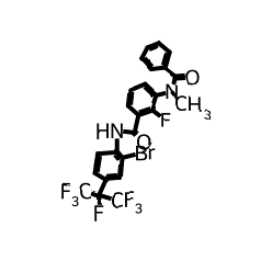 CN(C(=O)c1ccccc1)c1cccc(C(=O)Nc2ccc(C(F)(C(F)(F)F)C(F)(F)F)cc2Br)c1F